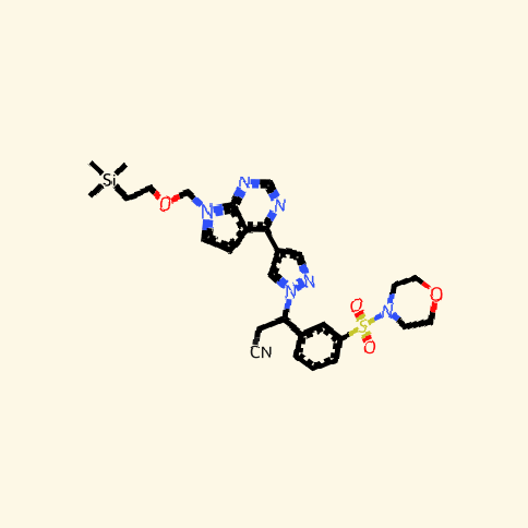 C[Si](C)(C)CCOCn1ccc2c(-c3cnn(C(CC#N)c4cccc(S(=O)(=O)N5CCOCC5)c4)c3)ncnc21